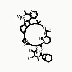 CCn1c(-c2cccnc2[C@H](C)OC)c2c3cc(ccc31)-c1csc(n1)C[C@H](NC(=O)C(C(C)C)N(C)C(=O)N1C3CCCC1CC3)C(=O)N1CCC[C@H](N1)C(=O)OCC(C)(C)C2